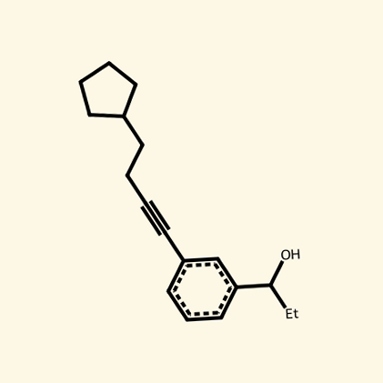 CCC(O)c1cccc(C#CCCC2CCCC2)c1